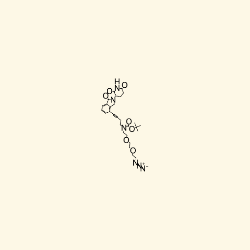 CC(C)(C)OC(=O)N(CCC#Cc1cccc2c1CN(C1CCC(=O)NC1=O)C2=O)CCOCCOCCN=[N+]=[N-]